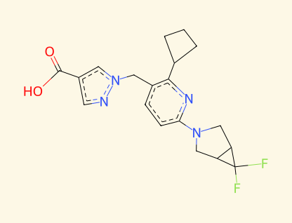 O=C(O)c1cnn(Cc2ccc(N3CC4C(C3)C4(F)F)nc2C2CCC2)c1